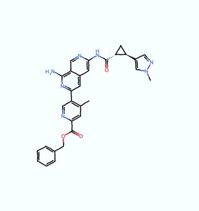 Cc1cc(C(=O)OCc2ccccc2)ncc1-c1cc2cc(NC(=O)[C@@H]3C[C@H]3c3cnn(C)c3)ncc2c(N)n1